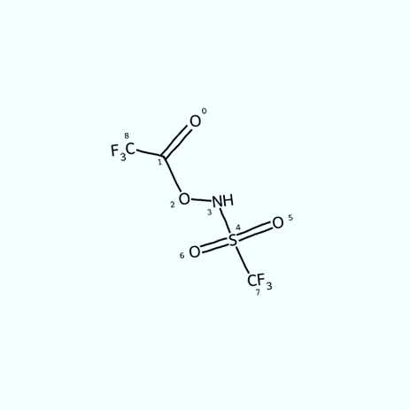 O=C(ONS(=O)(=O)C(F)(F)F)C(F)(F)F